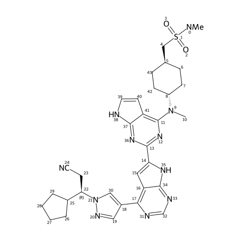 CNS(=O)(=O)C[C@H]1CC[C@H](N(C)c2nc(-c3cc4c(-c5cnn([C@H](CC#N)C6CCCC6)c5)ncnc4[nH]3)nc3[nH]ccc23)CC1